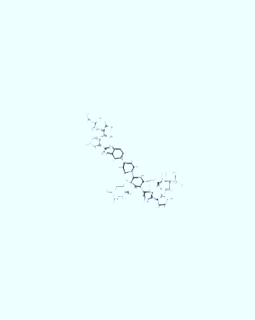 COCCOc1c(-c2ccc(-c3ccc4nc([C@@H]5CCCN5C(=O)[C@@H](NC(=O)OC)C(C)C)[nH]c4c3)cc2)ccc(-c2cnc([C@@H]3C=CCN3OC[C@@H](NC(=O)OC)C(C)C)[nH]2)c1OCCOC